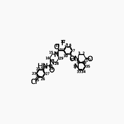 O=C1CCN(Oc2ccc(F)c(C(=O)N3CCN(C(=O)Nc4ccc(Cl)cc4)CC3)c2)c2ncccc21